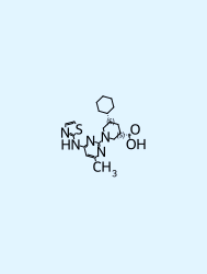 Cc1cc(Nc2nccs2)nc(N2C[C@@H](C(=O)O)C[C@@H](C3CCCCC3)C2)n1